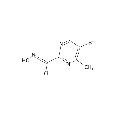 Cc1nc(C(Cl)=NO)ncc1Br